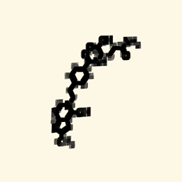 Cc1cc2c(O)n(CCc3ccc(C(=O)N[C@@H](CCC(N)=O)C(=O)O)cc3)cnc-2n1